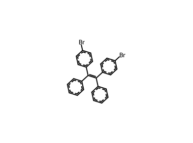 Brc1ccc(C(=C(c2ccccc2)c2ccc(Br)cc2)c2ccccc2)cc1